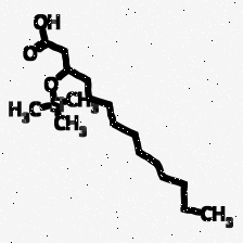 CCCCCCCCCCCC(CC(=O)O)O[Si](C)(C)C